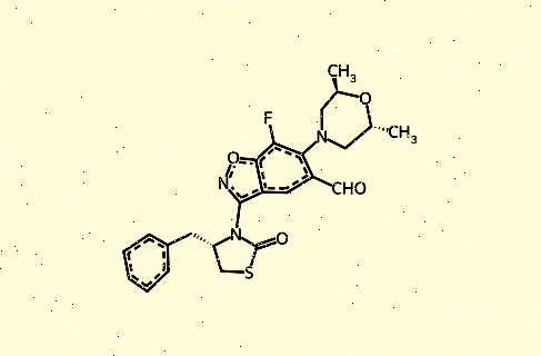 C[C@@H]1CN(c2c(C=O)cc3c(N4C(=O)SC[C@@H]4Cc4ccccc4)noc3c2F)C[C@@H](C)O1